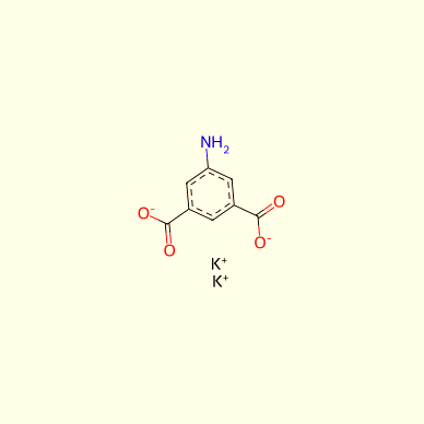 Nc1cc(C(=O)[O-])cc(C(=O)[O-])c1.[K+].[K+]